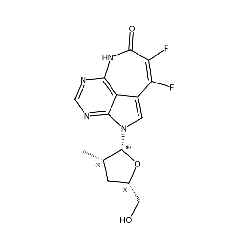 C[C@H]1C[C@@H](CO)O[C@H]1n1cc2c3c(ncnc31)NC(=O)C(F)=C2F